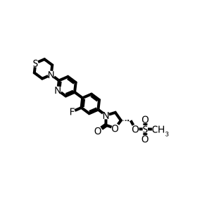 CS(=O)(=O)OC[C@H]1CN(c2ccc(-c3ccc(N4CCSCC4)nc3)c(F)c2)C(=O)O1